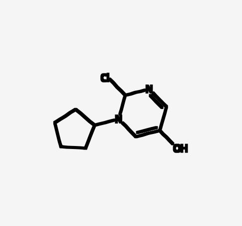 OC1=CN(C2CCCC2)C(Cl)N=C1